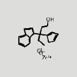 CCC(CCO)(C1=CC=CC1)C1C=Cc2ccccc21.[Cl-].[Cl-].[Zr+2]